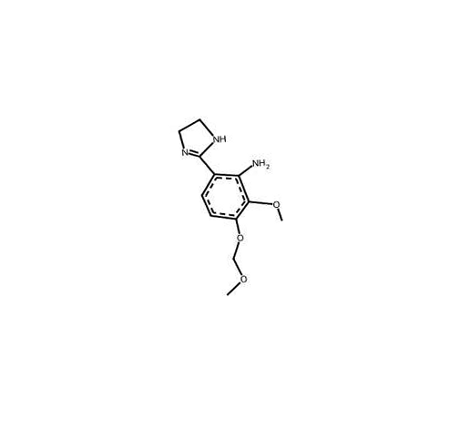 COCOc1ccc(C2=NCCN2)c(N)c1OC